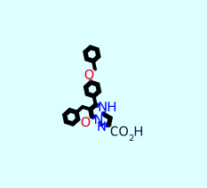 O=C(O)c1cc2[nH]c(-c3ccc(OCc4ccccc4)cc3)c(Cc3ccccc3)c(=O)n2n1